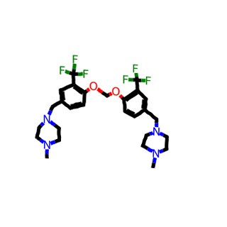 CN1CCN(Cc2ccc(OCOc3ccc(CN4CCN(C)CC4)cc3C(F)(F)F)c(C(F)(F)F)c2)CC1